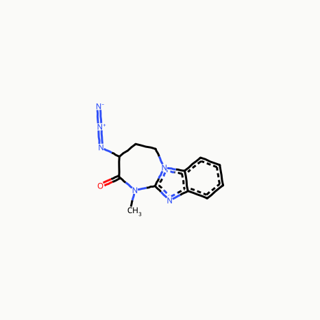 CN1C(=O)C(N=[N+]=[N-])CCn2c1nc1ccccc12